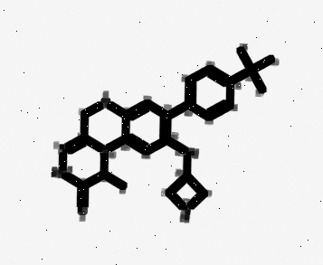 CC1C(=O)NN=C2COc3cc(-c4ccc(C(C)(C)C)cc4)c(NC4CNC4)cc3N21